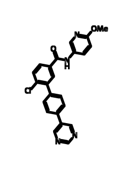 COc1ccc(NC(=O)c2ccc(Cl)c(-c3ccc(-c4cncnc4)cc3)c2)cn1